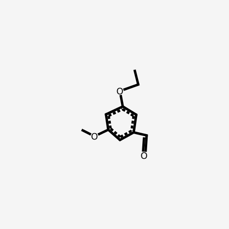 CCOc1cc(C=O)cc(OC)c1